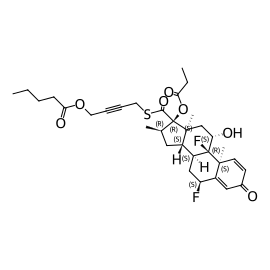 CCCCC(=O)OCC#CCSC(=O)[C@@]1(OC(=O)CC)[C@H](C)C[C@H]2[C@@H]3C[C@H](F)C4=CC(=O)C=C[C@]4(C)[C@@]3(F)[C@@H](O)C[C@@]21C